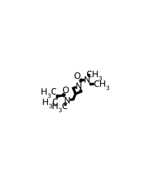 CCN(C)C(=O)N1CC(CN(C)C(=O)C(C)C)C1